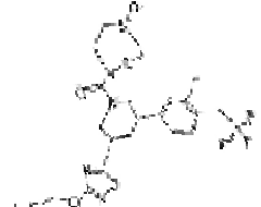 CCOc1noc(C2CC(c3ccc(CC(F)(F)F)c(F)c3)CN(C(=O)N3CC[S+]([O-])CC3)C2)n1